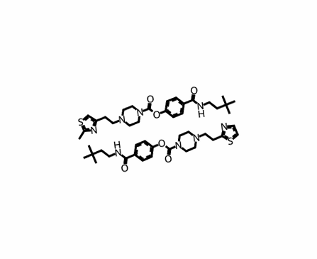 CC(C)(C)CCNC(=O)c1ccc(OC(=O)N2CCN(CCc3nccs3)CC2)cc1.Cc1nc(CCN2CCN(C(=O)Oc3ccc(C(=O)NCCC(C)(C)C)cc3)CC2)cs1